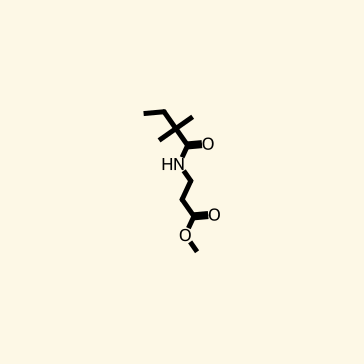 CCC(C)(C)C(=O)NCCC(=O)OC